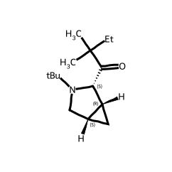 CCC(C)(C)C(=O)[C@@H]1[C@@H]2C[C@@H]2CN1C(C)(C)C